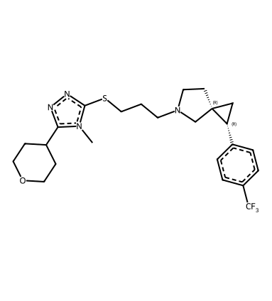 Cn1c(SCCCN2CC[C@@]3(C[C@@H]3c3ccc(C(F)(F)F)cc3)C2)nnc1C1CCOCC1